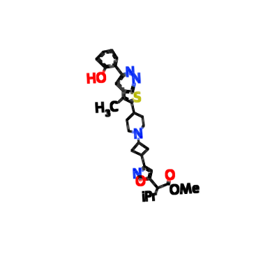 COC(=O)C(c1cc(C2CC(N3CCC(c4sc5nnc(-c6ccccc6O)cc5c4C)CC3)C2)no1)C(C)C